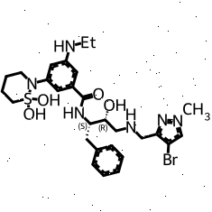 CCNc1cc(C(=O)N[C@@H](Cc2ccccc2)[C@H](O)CNCc2nn(C)cc2Br)cc(N2CCCCS2(O)O)c1